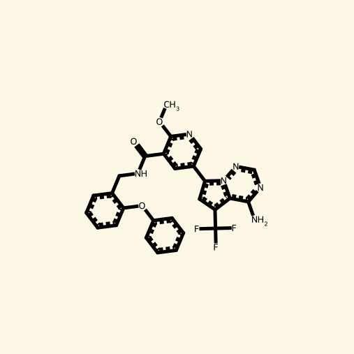 COc1ncc(-c2cc(C(F)(F)F)c3c(N)ncnn23)cc1C(=O)NCc1ccccc1Oc1ccccc1